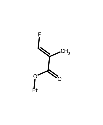 CCOC(=O)C(C)=CF